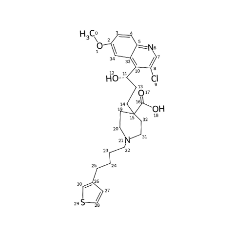 COc1ccc2ncc(Cl)c([C@@H](O)CCC3(C(=O)O)CCN(CCCCc4ccsc4)CC3)c2c1